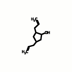 C=CCC1CC(O)C(CC=C)C1